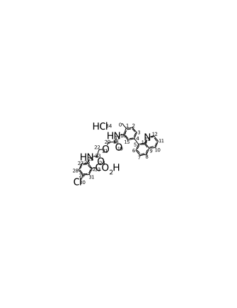 Cc1ccc(-c2cccc3cccnc23)cc1NC(=O)COCC(=O)Nc1ccc(Cl)cc1C(=O)O.Cl